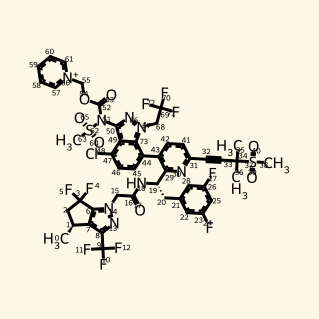 C[C@H]1CC(F)(F)c2c1c(C(F)(F)F)nn2CC(=O)N[C@@H](Cc1cc(F)cc(F)c1)c1nc(C#CC(C)(C)S(C)(=O)=O)ccc1-c1ccc(Cl)c2c(N(C(=O)OC[n+]3ccccc3)S(C)(=O)=O)nn(CC(F)(F)F)c12